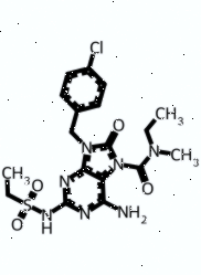 CCN(C)C(=O)n1c(=O)n(Cc2ccc(Cl)cc2)c2nc(NS(=O)(=O)CC)nc(N)c21